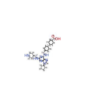 O=C(O)c1ccc(-c2ccc(CNc3nc(NCC4CCNCC4)nc4c3ncn4C3CCCC3)cc2)cc1